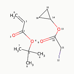 C=CC(=O)OC(C)(C)C.O=C(CI)OC1CC1